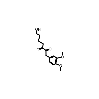 COc1ccc(CC(=O)C(=O)CCCCO)cc1OC